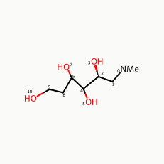 CNC[C@H](O)C(O)C(O)CCO